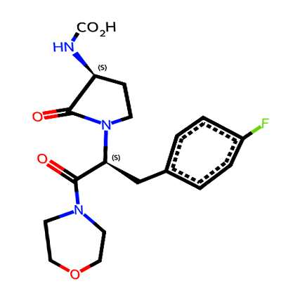 O=C(O)N[C@H]1CCN([C@@H](Cc2ccc(F)cc2)C(=O)N2CCOCC2)C1=O